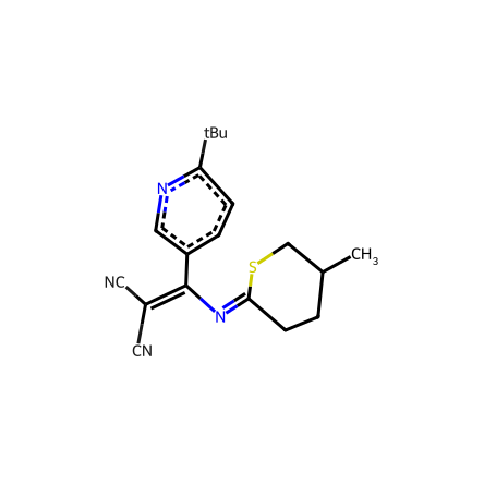 CC1CC/C(=N/C(=C(C#N)C#N)c2ccc(C(C)(C)C)nc2)SC1